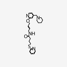 O=C(CCCSc1ccccn1)NCC=CCOc1cc(CN2CCCCC2)ccn1